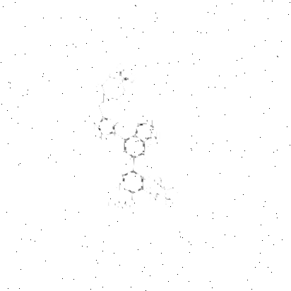 COc1ncc(-c2cc(-c3nnc(CN4CCS(=O)(=O)CC4)o3)c3cn[nH]c3c2)cc1NS(C)(=O)=O